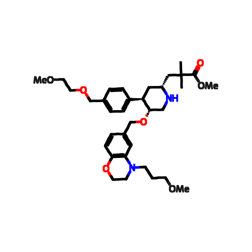 COCCCN1CCOc2ccc(CO[C@H]3CN[C@@H](CC(C)(C)C(=O)OC)C[C@@H]3c3ccc(COCCOC)cc3)cc21